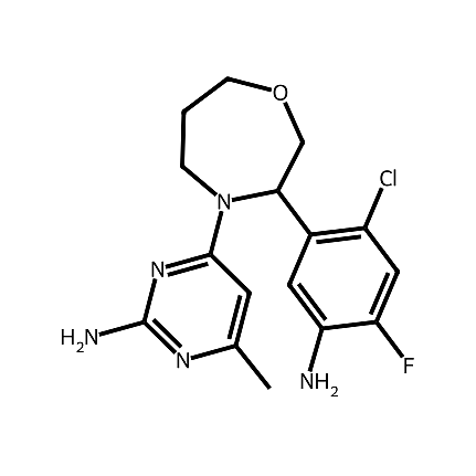 Cc1cc(N2CCCOCC2c2cc(N)c(F)cc2Cl)nc(N)n1